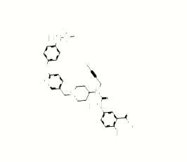 CC#CCN(C(=O)Nc1ccc(F)c(C(N)=O)c1)C1CCN(Cc2ccc(Oc3ccc(NS(C)(=O)=O)cc3)nc2)CC1